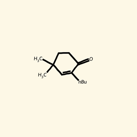 CCCCC1=CC(C)(C)CCC1=O